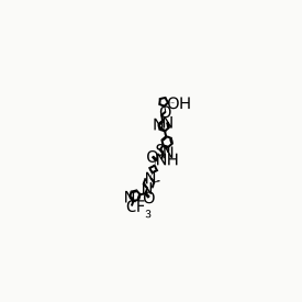 C[C@H]1CN(C(=O)c2ccnc(C(F)(F)F)c2)CCN1[C@H]1C[C@@H](C(=O)Nc2nc3ccc(-c4cnc(CO[C@H]5CCC[C@@H]5O)nc4)cc3s2)C1